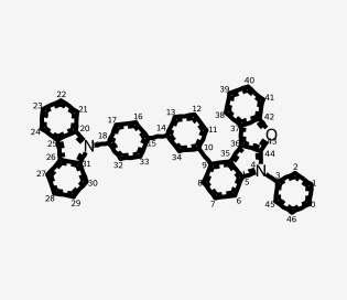 c1ccc(-n2c3cccc(-c4cccc(-c5ccc(-n6c7ccccc7c7ccccc76)cc5)c4)c3c3c4ccccc4oc32)cc1